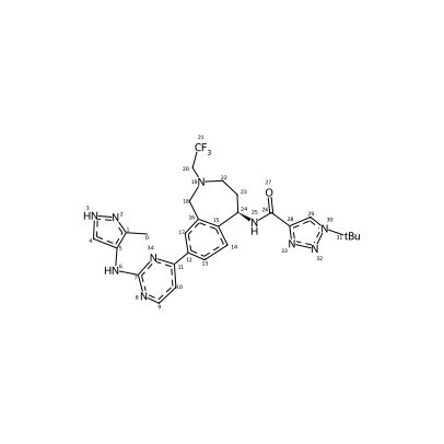 Cc1n[nH]cc1Nc1nccc(-c2ccc3c(c2)CN(CC(F)(F)F)CC[C@H]3NC(=O)c2cn(C(C)(C)C)nn2)n1